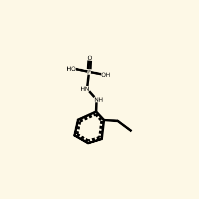 CCc1ccccc1NNP(=O)(O)O